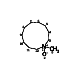 C[N+]1([O-])CCCCCCCCCC1